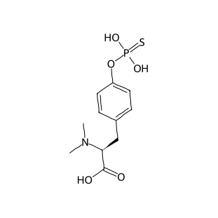 CN(C)[C@@H](Cc1ccc(OP(O)(O)=S)cc1)C(=O)O